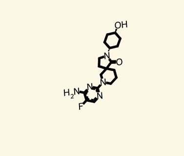 Nc1nc(N2CCCC3(CCN([C@H]4CC[C@H](O)CC4)C3=O)C2)ncc1F